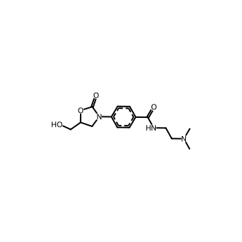 CN(C)CCNC(=O)c1ccc(N2CC(CO)OC2=O)cc1